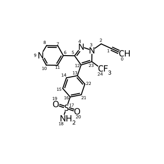 C#CCn1nc(-c2ccncc2)c(-c2ccc(S(N)(=O)=O)cc2)c1C(F)(F)F